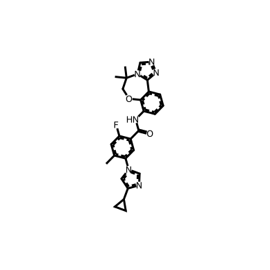 Cc1cc(F)c(C(=O)Nc2cccc3c2OCC(C)(C)n2cnnc2-3)cc1-n1cnc(C2CC2)c1